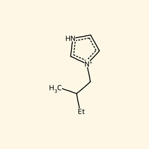 CCC(C)C[n+]1cc[nH]c1